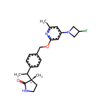 Cc1cc(N2CC(F)C2)cc(OCc2ccc(C(C)[C@]3(C)CCNC3=O)cc2)n1